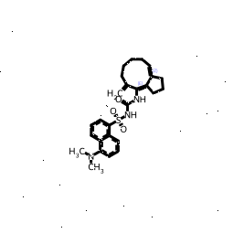 C=C1CCCC/C=C2/CCC/C2=C/1NC(=O)NS(=O)(=O)c1cccc2c(N(C)C)cccc12